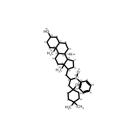 CC1(C)CCC(O)(CC(CC2CCC3[C@@H]4CCC5CC(O)CCC5(C)C4CCC23C)[S+]([O-])c2ccccc2)CC1